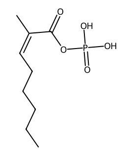 CCCCCC=C(C)C(=O)OP(=O)(O)O